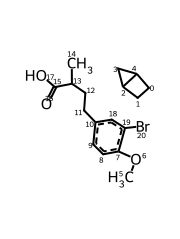 C1CC2CC12.COc1ccc(CCC(C)C(=O)O)cc1Br